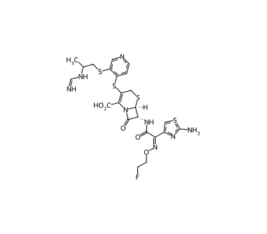 CC(CSc1cnccc1SC1=C(C(=O)O)N2C(=O)[C@@H](NC(=O)/C(=N\OCCF)c3csc(N)n3)[C@@H]2SC1)NC=N